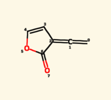 C=C=C1C=COC1=O